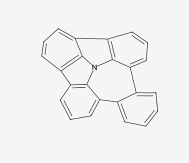 c1ccc2c(c1)-c1cccc3c4cccc5c6cccc-2c6n(c13)c45